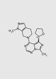 Cc1nc([C@H]2CCCO2)c2c(N3CCc4cnn(C)c4C3)ncnn12